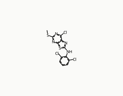 CSc1nc(Cl)c2nc(Nc3c(Cl)cccc3Cl)sc2n1